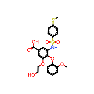 COc1ccccc1Oc1c(NS(=O)(=O)c2ccc(SC)cc2)cc(C(=O)O)cc1OCCO